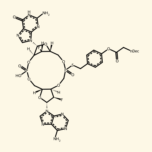 CCCCCCCCCCCC(=O)Oc1ccc(CSP2(=O)CO[C@H]3[C@@H](F)[C@H](n4cnc5c(N)ncnc54)O[C@@H]3COP(=O)(O)O[C@@H]3[C@H](F)[C@@H](CO2)O[C@H]3n2cnc3c(=O)[nH]c(N)nc32)cc1